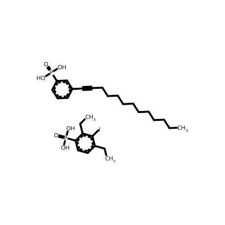 CCCCCCCCCCCC#Cc1cccc(P(=O)(O)O)c1.CCc1ccc(P(=O)(O)O)c(CC)c1I